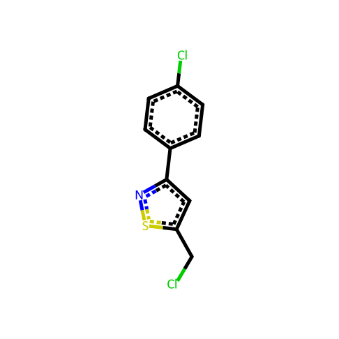 ClCc1cc(-c2ccc(Cl)cc2)ns1